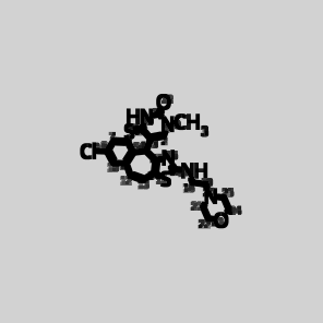 Cn1cc(C2c3ccc(Cl)cc3C=Cc3sc(NCCN4CCOCC4)nc32)c(=S)[nH]c1=O